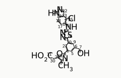 Cc1nc(-c2cc(CO)cc(-c3nnc(Nc4ccc5[nH]ncc5c4Cl)s3)c2)oc1CC(=O)O